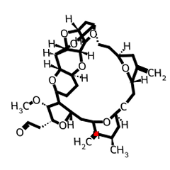 C=C1C[C@@H]2CC[C@@]34C[C@H]5O[C@H]6[C@@H](O3)[C@H]3OC(CC[C@@H]3O[C@H]6[C@H]5O4)C3[C@H](C[C@H]4O[C@@H](CC[C@@H]1O2)C[C@@H](C)C4=C)O[C@H](CC=O)[C@@H]3OC